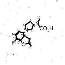 CC1Cc2c(N3CC[C@H](N(C)C(=O)O)C3)ccc(F)c2O1